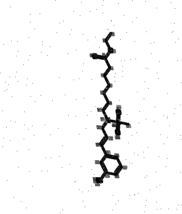 CCOC(=O)CCCCCCN(C/C=C/c1cccc(O)c1)S(C)(=O)=O